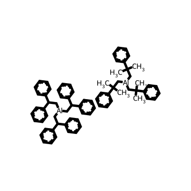 CC(C)([CH2][Al]([CH2]C(C)(C)c1ccccc1)[CH2]C(C)(C)c1ccccc1)c1ccccc1.c1ccc(C([CH2][Al]([CH2]C(c2ccccc2)c2ccccc2)[CH2]C(c2ccccc2)c2ccccc2)c2ccccc2)cc1